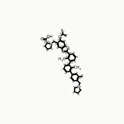 Cc1c(-c2ccc(CN3CCCC3)c(F)c2)cccc1-c1cccc(-c2nc3cc(CN4CCC[C@H]4C(=O)O)c(OC(F)F)cc3o2)c1C